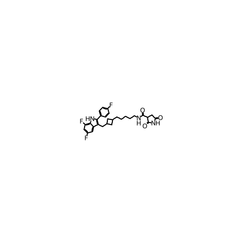 O=C1CC(C(=O)NCCCCCC2CC(Cc3c(-c4ccc(F)cc4)[nH]c4c(F)cc(F)cc34)C2)C(=O)N1